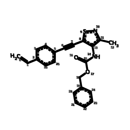 C=Cc1ccc(C#Cc2snc(C)c2NC(=O)OCc2ccccc2)cc1